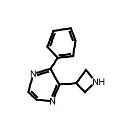 c1ccc(-c2nccnc2C2CNC2)cc1